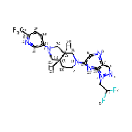 FC(F)Cn1ncc2ncc(N3CC[C@@H]4CN(c5ccc(C(F)(F)F)nc5)C[C@@H]4C3)nc21